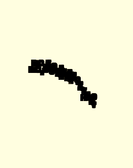 C=CC(=O)NCCCCCCOc1ccc(-c2ccc(C3O[C@@H](C(=O)OCC)[C@H](C(=O)OCC)O3)cc2)cc1